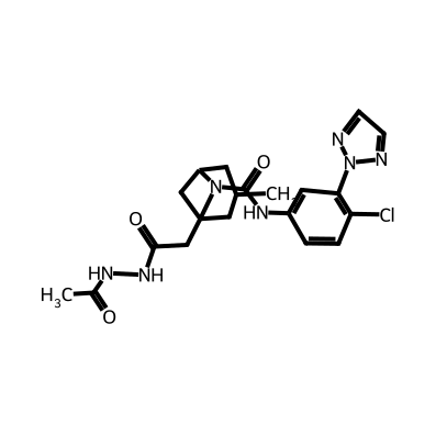 CC(=O)NNC(=O)CC12CC(C)CC(C1)N2C(=O)Nc1ccc(Cl)c(-n2nccn2)c1